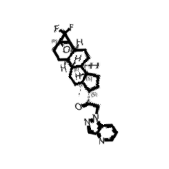 C[C@]12CC[C@@H]3[C@H]4CC[C@@]5(O)C([C@H]4CC[C@H]3[C@@H]1CC[C@@H]2C(=O)Cn1ncc2ncccc21)C5(F)F